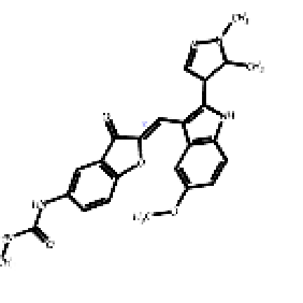 CNC(=O)Nc1ccc2c(c1)C(=O)/C(=C/c1c(C3C=NN(C)C3C)[nH]c3ccc(OC)cc13)O2